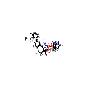 O=C(NC1c2cc(-c3ccccc3C(F)(F)F)ccc2CCC12CC2)O[C@H]1CN2CCC1CC2